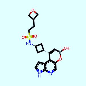 O=S(=O)(CCC1COC1)N[C@H]1C[C@@H](C2=CB(O)Oc3cnc4[nH]ccc4c32)C1